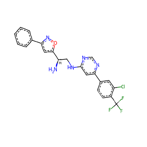 N[C@H](CNc1cc(-c2ccc(C(F)(F)F)c(Cl)c2)ncn1)c1cc(-c2ccccc2)no1